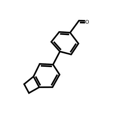 O=Cc1ccc(-c2ccc3c(c2)CC3)cc1